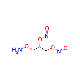 NOCC(CON=O)ON=O